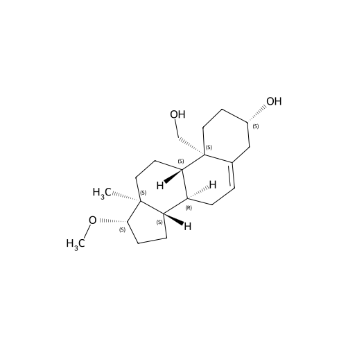 CO[C@H]1CC[C@H]2[C@@H]3CC=C4C[C@@H](O)CC[C@]4(CO)[C@H]3CC[C@]12C